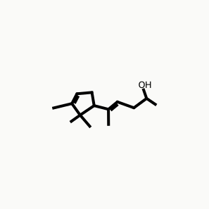 CC(=CCC(C)O)C1CC=C(C)C1(C)C